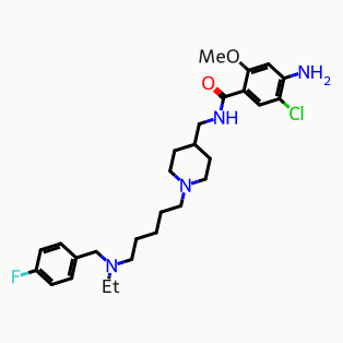 CCN(CCCCCN1CCC(CNC(=O)c2cc(Cl)c(N)cc2OC)CC1)Cc1ccc(F)cc1